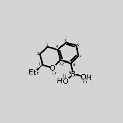 CC[C@H]1CCc2cccc(B(O)O)c2O1